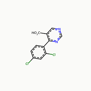 O=C(O)c1cncnc1-c1ccc(Cl)cc1Cl